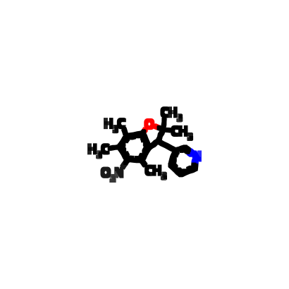 Cc1c(C)c([N+](=O)[O-])c(C)c2c1OC(C)(C)C2c1cccnc1